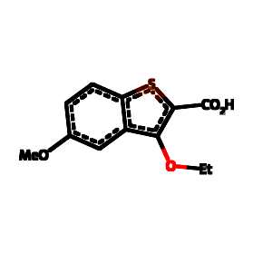 CCOc1c(C(=O)O)sc2ccc(OC)cc12